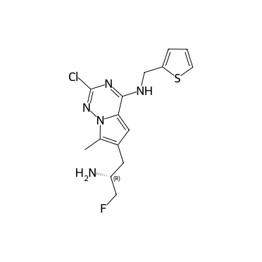 Cc1c(C[C@@H](N)CF)cc2c(NCc3cccs3)nc(Cl)nn12